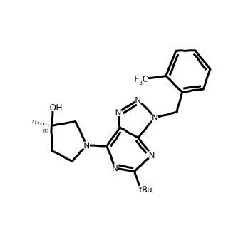 CC(C)(C)c1nc(N2CC[C@@](C)(O)C2)c2nnn(Cc3ccccc3C(F)(F)F)c2n1